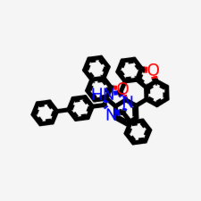 C1=CC2c3ccc4ccccc4c3OC2C(c2cccc3oc4cccc(C5=NC(c6ccccc6)=NC(c6ccc(-c7ccccc7)cc6)N5)c4c23)=C1